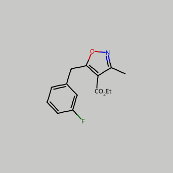 CCOC(=O)c1c(C)noc1Cc1cccc(F)c1